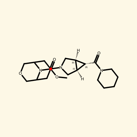 COC(=O)N1C2COCC1CC(N1C[C@@H]3[C@H](C1)[C@H]3C(=O)N1CCCCC1)C2